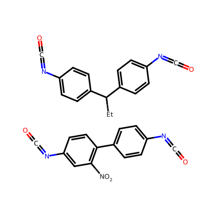 CCC(c1ccc(N=C=O)cc1)c1ccc(N=C=O)cc1.O=C=Nc1ccc(-c2ccc(N=C=O)cc2[N+](=O)[O-])cc1